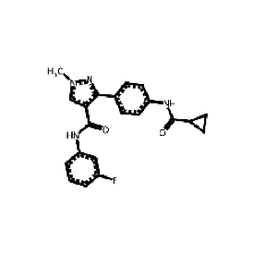 Cn1cc(C(=O)Nc2cccc(F)c2)c(-c2ccc(NC(=O)C3CC3)cc2)n1